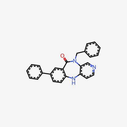 O=C1c2cc(-c3ccccc3)ccc2Nc2ccncc2N1Cc1ccccc1